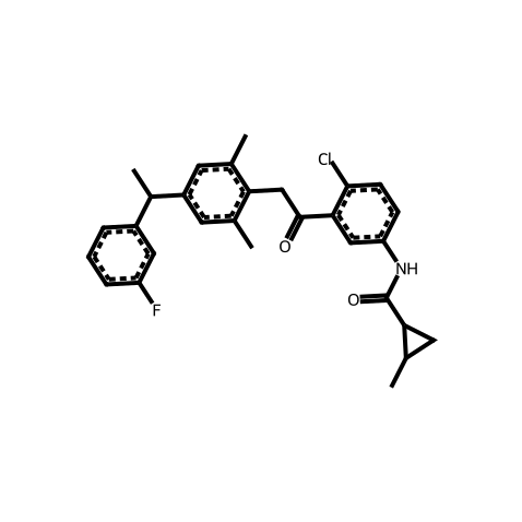 Cc1cc(C(C)c2cccc(F)c2)cc(C)c1CC(=O)c1cc(NC(=O)C2CC2C)ccc1Cl